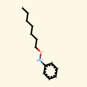 CCCCCCCONc1ccccc1